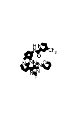 Cc1ccc(NC(=O)c2cc(C(F)(F)F)ccn2)cc1Nc1ncccc1-c1nc(F)nc2c1ncn2C1CCCCO1